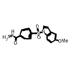 COc1ccc2c(ccn2S(=O)(=O)c2ccc(C(=O)NN)cc2)c1